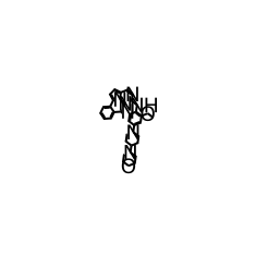 COc1cc(N2CCC(N3CCOCC3)CC2)ccc1Nc1ncc2ccc(-c3ccccc3C#N)n2n1